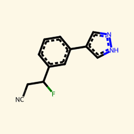 N#CCC(F)c1cccc(-c2cn[nH]c2)c1